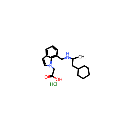 CC(CC1CCCCC1)NCc1cccc2ccn(CC(=O)O)c12.Cl